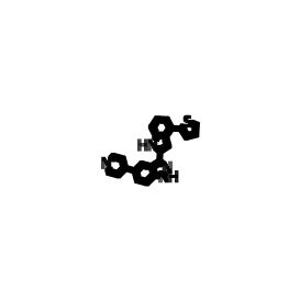 c1csc(-c2cccc3[nH]c(-c4n[nH]c5ccc(-c6ccncc6)cc45)cc23)c1